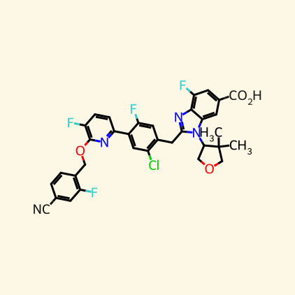 CC1(C)COCC1n1c(Cc2cc(F)c(-c3ccc(F)c(OCc4ccc(C#N)cc4F)n3)cc2Cl)nc2c(F)cc(C(=O)O)cc21